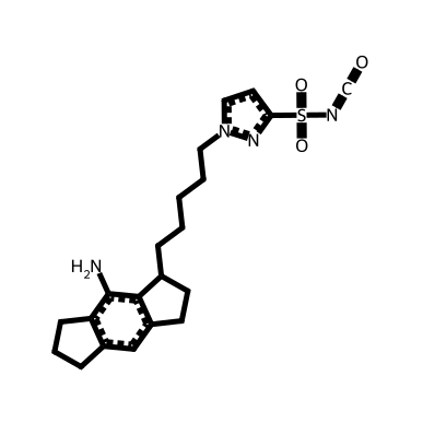 Nc1c2c(cc3c1C(CCCCCn1ccc(S(=O)(=O)N=C=O)n1)CC3)CCC2